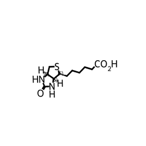 O=C(O)CCCCC[C@@H]1SC[C@@H]2NC(=O)N[C@@H]21